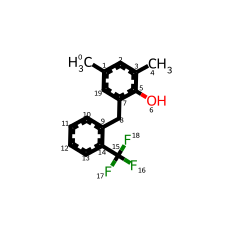 Cc1cc(C)c(O)c(Cc2ccccc2C(F)(F)F)c1